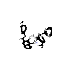 COC(=O)c1cn(-c2ncccn2)nc1/N=N/c1c(O)c(C(=O)Nc2ccc(OC)cc2)cc2ccccc12